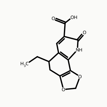 CCC1CC2=C(OCO2)c2[nH]c(=O)c(C(=O)O)cc21